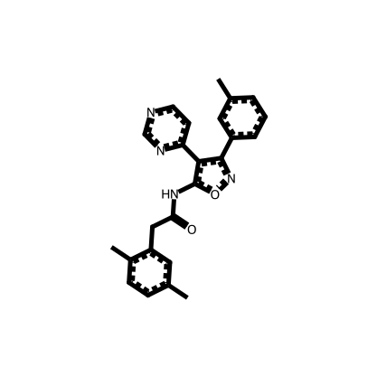 Cc1cccc(-c2noc(NC(=O)Cc3cc(C)ccc3C)c2-c2ccncn2)c1